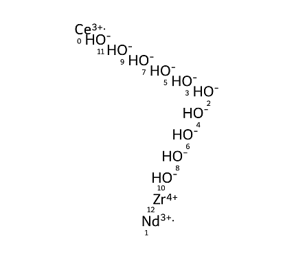 [Ce+3].[Nd+3].[OH-].[OH-].[OH-].[OH-].[OH-].[OH-].[OH-].[OH-].[OH-].[OH-].[Zr+4]